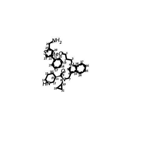 COCCCn1cc(CN(C(=O)[C@H]2CNCC[C@@H]2c2cccc(-c3csc(CN)c3)c2)C2CC2)c2ccccc21